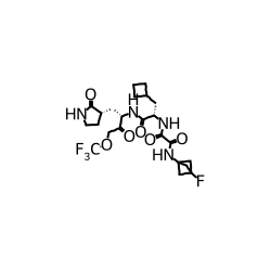 O=C(N[C@@H](CC1CCC1)C(=O)N[C@@H](C[C@@H]1CCNC1=O)C(=O)COC(F)(F)F)C(=O)NC12CC(F)(C1)C2